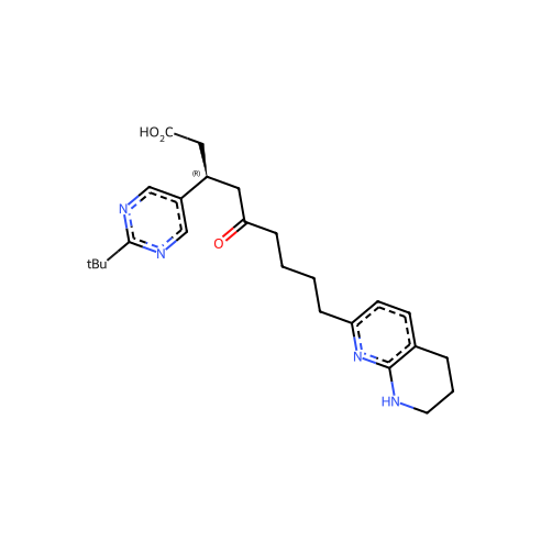 CC(C)(C)c1ncc([C@@H](CC(=O)O)CC(=O)CCCCc2ccc3c(n2)NCCC3)cn1